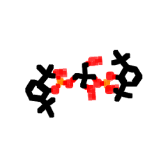 CC(C)(C)c1cccc(C(C)(C)C)c1OP(O)OCC(CO)(CO)COP(O)Oc1c(C(C)(C)C)cccc1C(C)(C)C